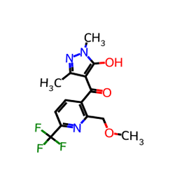 COCc1nc(C(F)(F)F)ccc1C(=O)c1c(C)nn(C)c1O